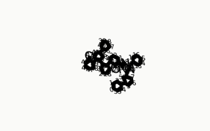 c1ccc(-c2cccc(-c3nc(-c4ccccc4)nc(-c4cccc5c4oc4cccc(-c6cc(-c7ccccc7)cc7oc8ccccc8c67)c45)n3)c2)cc1